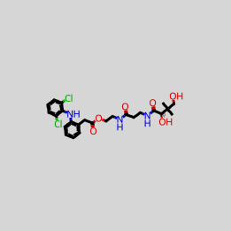 CC(C)(CO)[C@@H](O)C(=O)NCCC(=O)NCCOC(=O)Cc1ccccc1Nc1c(Cl)cccc1Cl